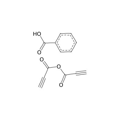 C#CC(=O)OC(=O)C#C.O=C(O)c1ccccc1